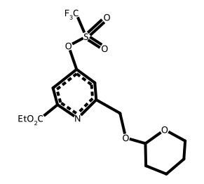 CCOC(=O)c1cc(OS(=O)(=O)C(F)(F)F)cc(COC2CCCCO2)n1